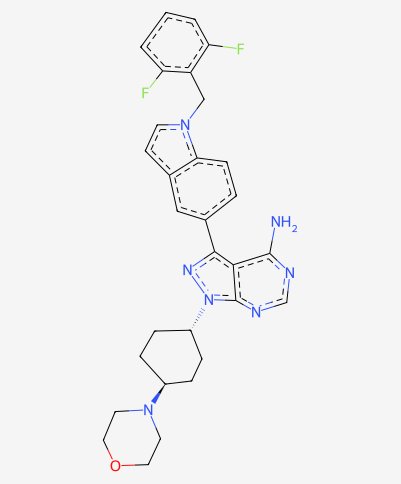 Nc1ncnc2c1c(-c1ccc3c(ccn3Cc3c(F)cccc3F)c1)nn2[C@H]1CC[C@H](N2CCOCC2)CC1